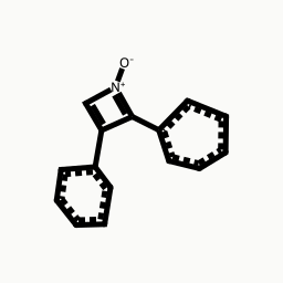 [O-][N+]1=C(c2ccccc2)C(c2ccccc2)=C1